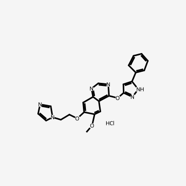 COc1cc2c(Oc3cc(-c4ccccc4)[nH]n3)ncnc2cc1OCCn1ccnc1.Cl